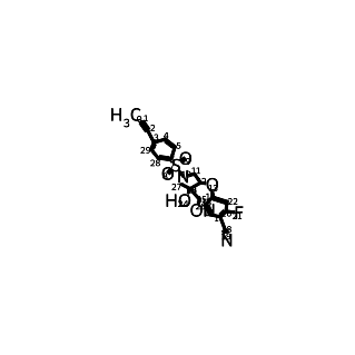 CC#Cc1ccc(S(=O)(=O)N2CC(Oc3ccc(C#N)c(F)c3)[C@](O)(CO)C2)cc1